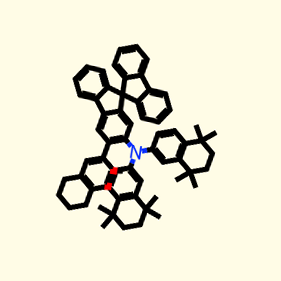 Cc1cc2c(cc1-c1cc3c(cc1N(c1ccc4c(c1)C(C)(C)CCC4(C)C)c1ccc4c(c1)C(C)(C)CCC4(C)C)C1(c4ccccc4-c4ccccc41)c1ccccc1-3)CCCC2